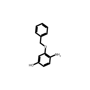 Nc1ccc(O)cc1OCc1ccccc1